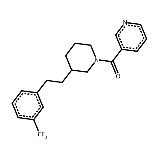 O=C(c1cccnc1)N1CCCC(CCc2cccc(C(F)(F)F)c2)C1